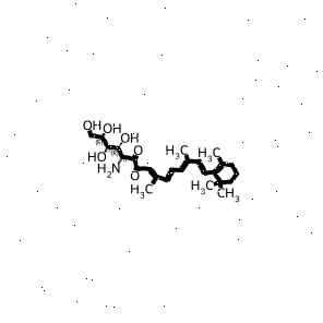 CC(C=CC1=C(C)CCCC1(C)C)=CC=CC(C)=CC(=O)C(=O)[C@H](N)[C@@H](O)[C@H](O)[C@H](O)CO